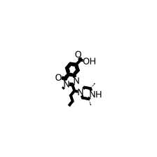 CCCC(c1nc2cc(C(=O)O)ccc2c(=O)n1C)N1C[C@@H](C)N[C@@H](C)C1